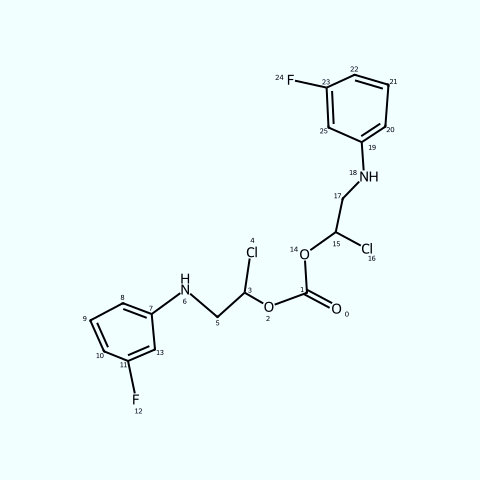 O=C(OC(Cl)CNc1cccc(F)c1)OC(Cl)CNc1cccc(F)c1